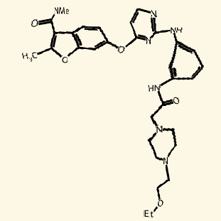 CCOCCN1CCN(CC(=O)Nc2cccc(Nc3nccc(Oc4ccc5c(C(=O)NC)c(C)oc5c4)n3)c2)CC1